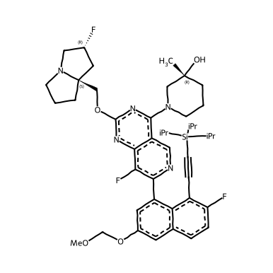 COCOc1cc(-c2ncc3c(N4CCC[C@@](C)(O)C4)nc(OC[C@@]45CCCN4C[C@H](F)C5)nc3c2F)c2c(C#C[Si](C(C)C)(C(C)C)C(C)C)c(F)ccc2c1